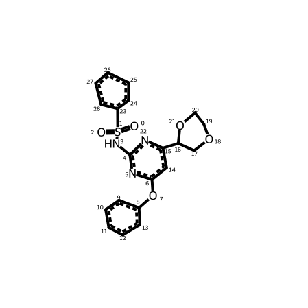 O=S(=O)(Nc1nc(Oc2ccccc2)cc(C2COCCO2)n1)c1ccccc1